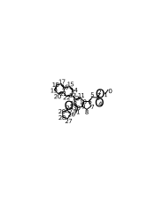 CCOC(=O)CC1CCc2c1cc(-c1ccc3ccccc3c1)c(OC1CCCC1)c2C